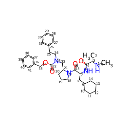 CN[C@@H](C)C(=O)N[C@@H](CC1CCCCC1)C(=O)N1CCC[C@H]1CN(CCc1ccccc1)C(=O)OCc1ccccc1